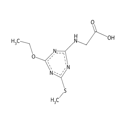 CCOc1nc(NCC(=O)O)nc(SC)n1